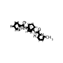 Cc1cccc(C(=O)NC23CCCC(NC(=O)c4ccc(F)cn4)(CC2)C3)n1